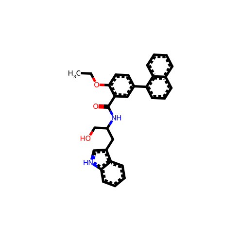 CCOc1ccc(-c2cccc3ccccc23)cc1C(=O)NC(CO)Cc1c[nH]c2ccccc12